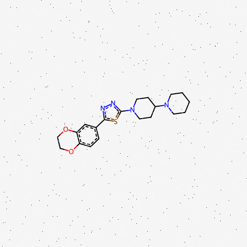 c1cc2c(cc1-c1nnc(N3CCC(N4CCCCC4)CC3)s1)OCCO2